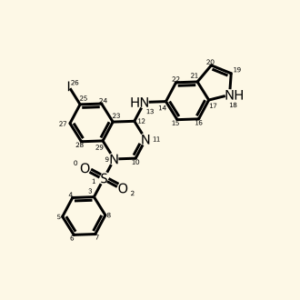 O=S(=O)(c1ccccc1)N1C=NC(Nc2ccc3[nH]ccc3c2)c2cc(I)ccc21